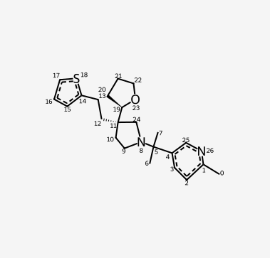 Cc1ccc(C(C)(C)N2CC[C@@](CCc3cccs3)([C@H]3CCCO3)C2)cn1